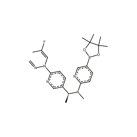 C=NN(/C=C(\C)F)c1ccc([C@H](C)N(C)c2ccc(B3OC(C)(C)C(C)(C)O3)cn2)cn1